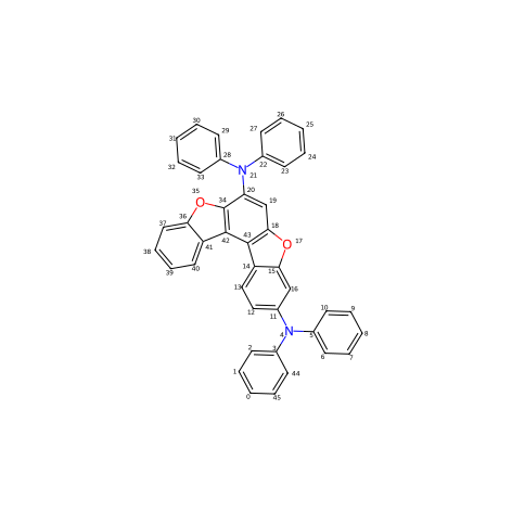 c1ccc(N(c2ccccc2)c2ccc3c(c2)oc2cc(N(c4ccccc4)c4ccccc4)c4oc5ccccc5c4c23)cc1